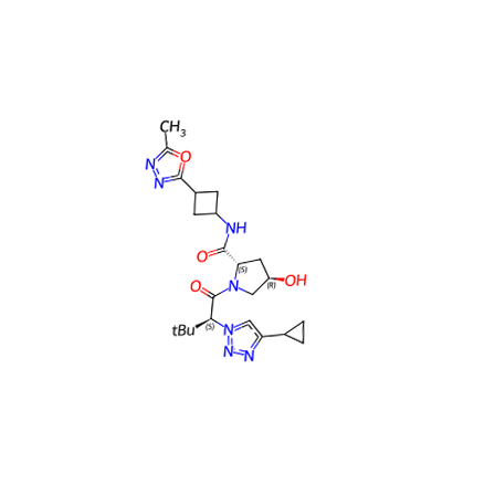 Cc1nnc(C2CC(NC(=O)[C@@H]3C[C@@H](O)CN3C(=O)[C@@H](n3cc(C4CC4)nn3)C(C)(C)C)C2)o1